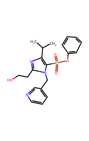 CC(C)c1nc(CCO)n(Cc2cccnc2)c1S(=O)(=O)Oc1ccccc1